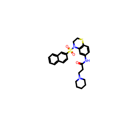 O=C(CCN1CCCCC1)Nc1ccc2c(c1)N(S(=O)(=O)c1ccc3ccccc3c1)CCS2